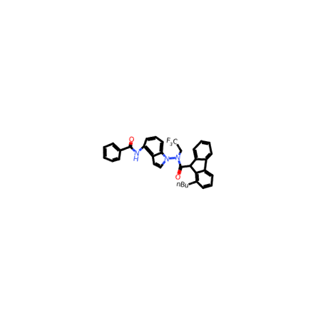 CCCCc1cccc2c1C(C(=O)N(CC(F)(F)F)n1ccc3c(NC(=O)c4ccccc4)cccc31)c1ccccc1-2